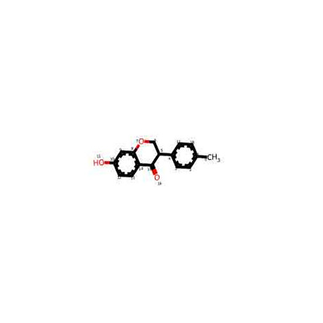 Cc1ccc(C2COc3cc(O)ccc3C2=O)cc1